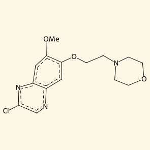 COc1cc2nc(Cl)cnc2cc1OCCN1CCOCC1